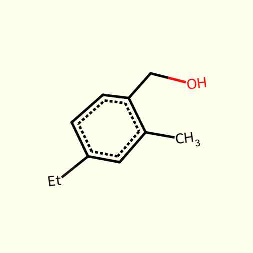 CCc1ccc(CO)c(C)c1